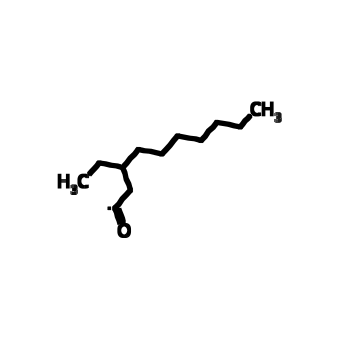 CCCCCCCC(CC)C[C]=O